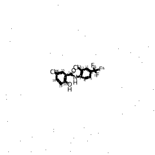 O=C(Nc1ccc(C(F)(F)F)cc1Cl)c1cc(Cl)ccc1O